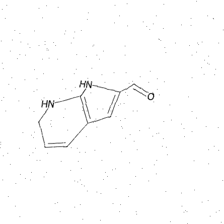 O=Cc1cc2c([nH]1)NCC=C2